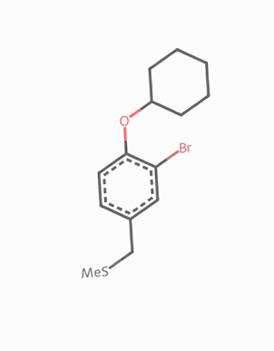 CSCc1ccc(OC2CCCCC2)c(Br)c1